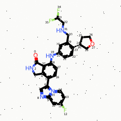 O=C1NCc2c(-c3cnc4cc(F)ccn34)ccc(Nc3ccc([C@H]4CCOC4)c(CNCC(F)F)c3)c21